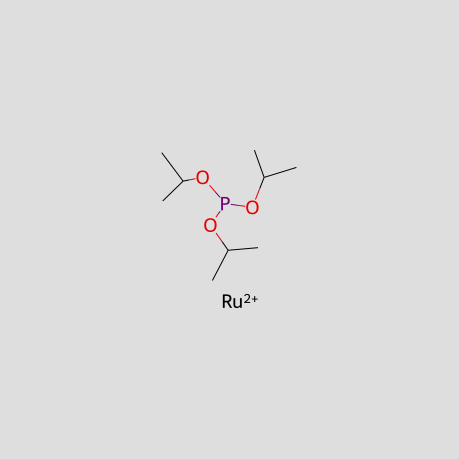 CC(C)OP(OC(C)C)OC(C)C.[Ru+2]